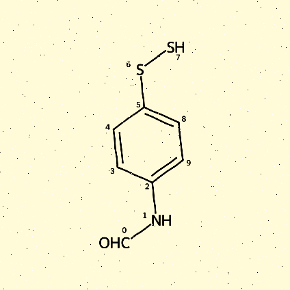 O=CNc1ccc(SS)cc1